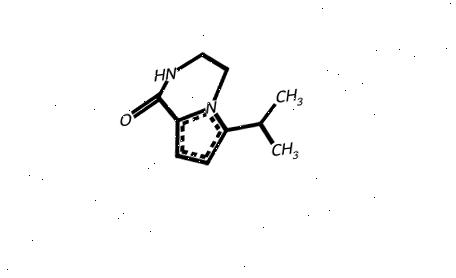 CC(C)c1ccc2n1CCNC2=O